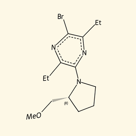 CCc1nc(N2CCC[C@@H]2COC)c(CC)nc1Br